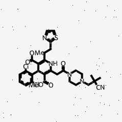 COC(=O)C1=C(CCc2nccs2)NC(CC(=O)N2CCN(CC(C)(C)C#N)CC2)=C(C(=O)OC)C1c1c(Cl)cccc1Cl